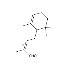 CC1=CCCC(C)(C)C1C/C=C(/C)C=O